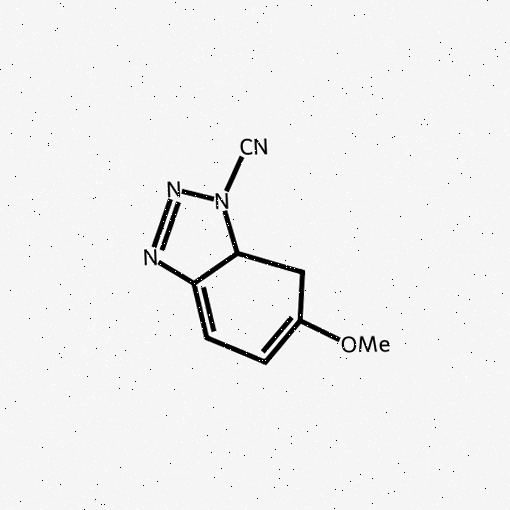 COC1=CC=C2N=NN(C#N)C2C1